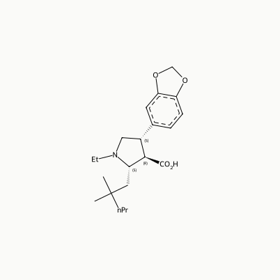 CCCC(C)(C)C[C@H]1[C@H](C(=O)O)[C@@H](c2ccc3c(c2)OCO3)CN1CC